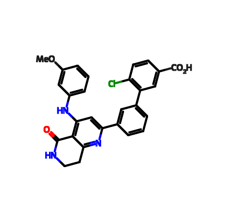 COc1cccc(Nc2cc(-c3cccc(-c4cc(C(=O)O)ccc4Cl)c3)nc3c2C(=O)NCC3)c1